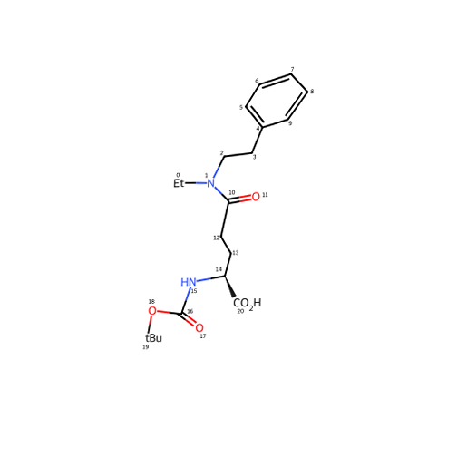 CCN(CCc1ccccc1)C(=O)CC[C@H](NC(=O)OC(C)(C)C)C(=O)O